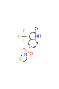 O=c1cc(C(F)(F)F)c2cc(S(=O)(=O)N3CCSC3)ccc2[nH]1